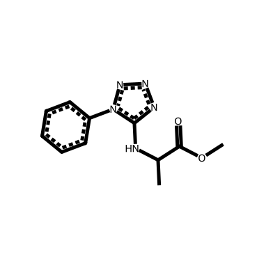 COC(=O)C(C)Nc1nnnn1-c1ccccc1